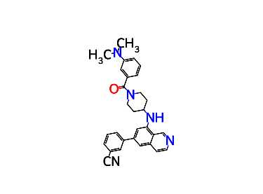 CN(C)c1cccc(C(=O)N2CCC(Nc3cc(-c4cccc(C#N)c4)cc4ccncc34)CC2)c1